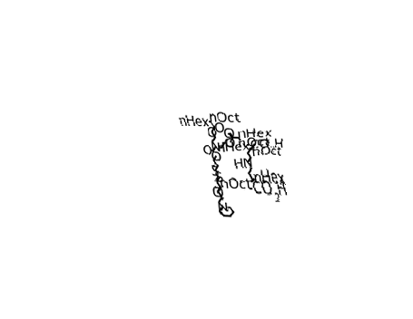 CCCCCCCCC(CCCCCC)(CCNCCC(CCCCCC)(CCCCCCCC)C(=O)O)C(=O)O.CCCCCCCCC(CCCCCC)C(=O)OCCN(CCOC(=O)C(CCCCCC)CCCCCCCC)C(=O)OCCSSCCOCCN1CCCCC1